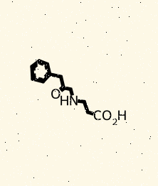 O=C(O)CCNCC(=O)Cc1ccccc1